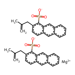 C=C(C)Cc1ccc2cc3ccccc3cc2c1S(=O)(=O)[O-].C=C(C)Cc1ccc2cc3ccccc3cc2c1S(=O)(=O)[O-].[Mg+2]